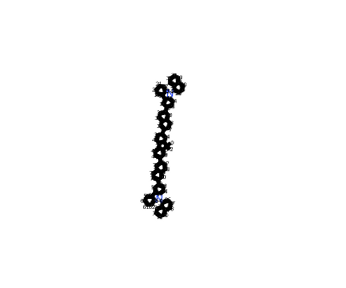 CC1(C)c2cc(-c3ccc4cc(-c5ccc6c(c5)c5ccccc5n6-c5cccc6ccccc56)ccc4c3)ccc2-c2ccc(-c3ccc4cc(-c5ccc6c(c5)c5ccccc5n6-c5cccc6ccccc56)ccc4c3)cc21